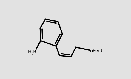 Bc1ccccc1/C=C\CCCCCC